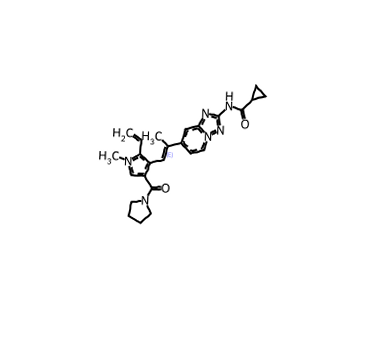 C=Cc1c(/C=C(\C)c2ccn3nc(NC(=O)C4CC4)nc3c2)c(C(=O)N2CCCC2)cn1C